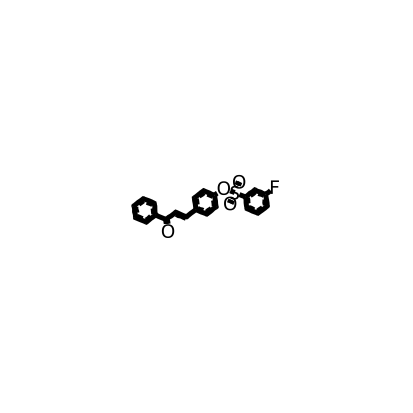 O=C(C=Cc1ccc(OS(=O)(=O)c2cccc(F)c2)cc1)c1ccccc1